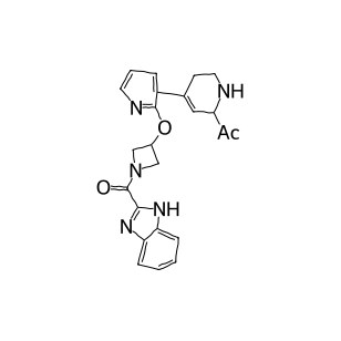 CC(=O)C1C=C(c2cccnc2OC2CN(C(=O)c3nc4ccccc4[nH]3)C2)CCN1